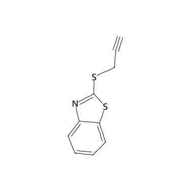 C#CCSc1nc2ccccc2s1